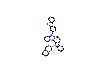 c1ccc2cc(-n3c4ccccc4c4ccc5c(c6ccccc6n5-c5ccc6c(c5)oc5ccccc56)c43)ccc2c1